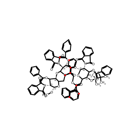 CO[C@H]1OC(COC(=O)c2ccccc2)[C@H](OC2OC(COC(=O)c3ccccc3)C(O[C@H]3OC(COC(=O)c4ccccc4)[C@H](O[Si](C)(C)C(C)(C)C)C(OC(=O)c4ccccc4)[C@H]3N3C(=O)c4ccccc4C3=O)[C@@H](OC(=O)c3ccccc3)[C@@H]2N2C(=O)c3ccccc3C2=O)C(OC(=O)c2ccccc2)[C@H]1N1C(=O)c2ccccc2C1=O